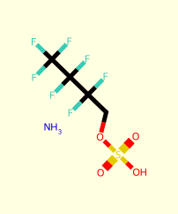 N.O=S(=O)(O)OCC(F)(F)C(F)(F)C(F)(F)F